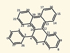 c1ccc(-c2cc3ccccc3c3c4ccccc4c4ccccc4c23)cc1